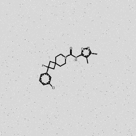 Cc1noc(NC(=O)N2CCC3(CC2)CC(F)(c2cccc(Cl)c2)C3)c1C